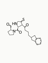 O=C[C@@H]1CCCN1C(=O)[C@H]1NCC(=S)C1C(=O)CCCC1Cc2ccccc2C1